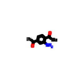 CC(C)C(=O)c1ccc(C(=O)C(C)(C)C)c(N)c1